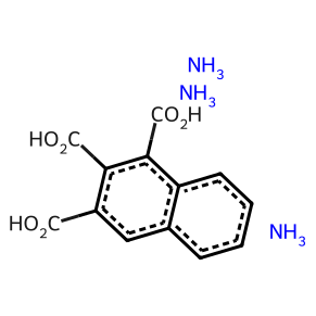 N.N.N.O=C(O)c1cc2ccccc2c(C(=O)O)c1C(=O)O